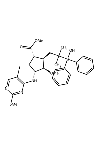 COC(=O)[C@H]1C[C@@H](Nc2nc(SC)ncc2I)[C@H](OC)[C@@H]1CC(C)(C)[Si](O)(c1ccccc1)c1ccccc1